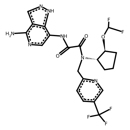 Nc1ncc(NC(=O)C(=O)N(Cc2ccc(C(F)(F)F)cn2)[C@H]2CCC[C@@H]2OC(F)F)c2[nH]ncc12